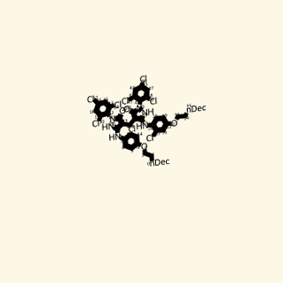 CCCCCCCCCCCCOc1ccc(Nc2[nH]n(-c3c(Cl)cc(Cl)cc3Cl)c(=O)c2Cc2c(Nc3ccc(OCCCCCCCCCCCC)cc3Cl)[nH]n(-c3c(Cl)cc(Cl)cc3Cl)c2=O)c(Cl)c1